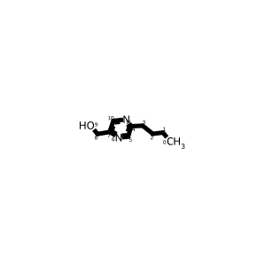 CCCCc1cnc(CO)cn1